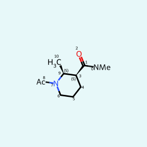 CNC(=O)[C@H]1CCCN(C(C)=O)[C@H]1C